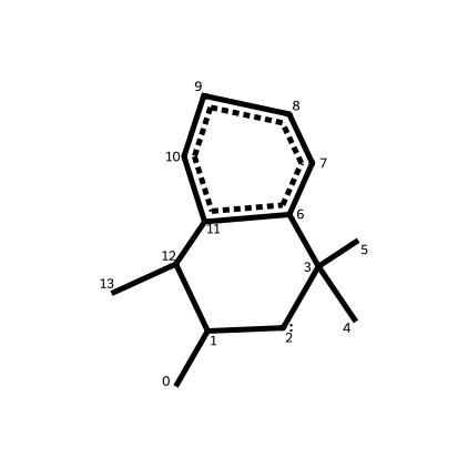 CC1[C]C(C)(C)c2ccccc2C1C